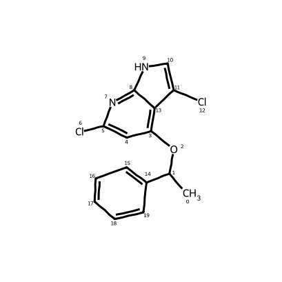 CC(Oc1cc(Cl)nc2[nH]cc(Cl)c12)c1ccccc1